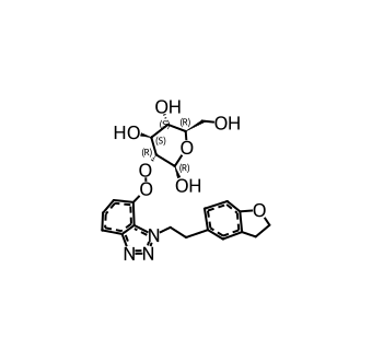 OC[C@H]1O[C@@H](O)[C@H](OOc2cccc3nnn(CCc4ccc5c(c4)CCO5)c23)[C@@H](O)[C@@H]1O